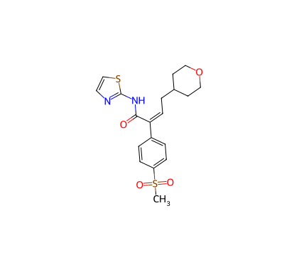 CS(=O)(=O)c1ccc(C(=CCC2CCOCC2)C(=O)Nc2nccs2)cc1